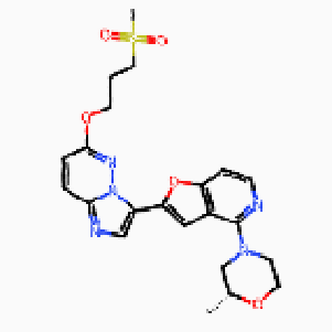 C[C@@H]1CN(c2nccc3oc(-c4cnc5ccc(OCCCS(C)(=O)=O)nn45)cc23)CCO1